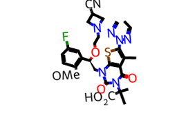 C=NN(/N=C\C)c1sc2c(c1C)c(=O)n(C(C)(C)C(=O)O)c(=O)n2C[C@H](OCCN1CC(C#N)C1)c1cc(F)ccc1OC